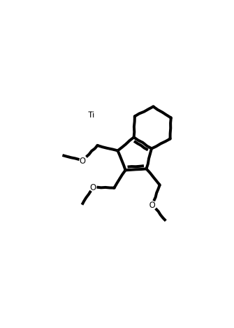 COC[C]1C2=C(CCCC2)C(COC)=C1COC.[Ti]